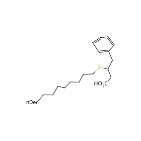 CCCCCCCCCCCCCCCCCCSC(CC(=O)O)Cc1ccccc1